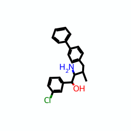 CC(Cc1ccc(-c2ccccc2)cc1)C(N)C(O)c1cccc(Cl)c1